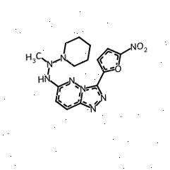 CN(Nc1ccc2nnc(-c3ccc([N+](=O)[O-])o3)n2n1)N1CCCCC1